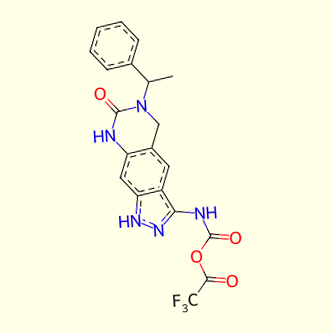 CC(c1ccccc1)N1Cc2cc3c(NC(=O)OC(=O)C(F)(F)F)n[nH]c3cc2NC1=O